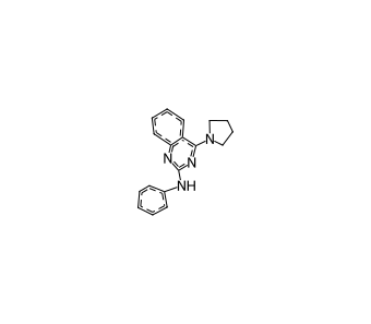 c1ccc(Nc2nc(N3CCCC3)c3ccccc3n2)cc1